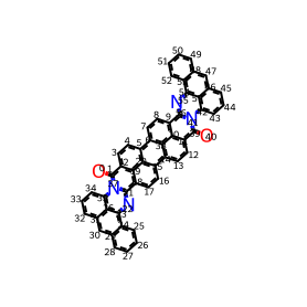 O=c1c2ccc3c4ccc5c6c(ccc(c7ccc(c2c37)c2nc3c7ccccc7cc7cccc(c73)n12)c46)c(=O)n1c2cccc3cc4ccccc4c(nc51)c32